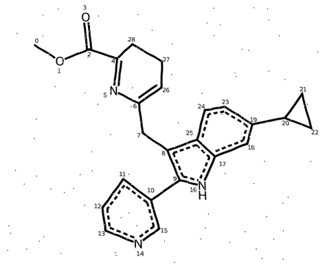 COC(=O)C1=NC(Cc2c(-c3cccnc3)[nH]c3cc(C4CC4)ccc23)=CCC1